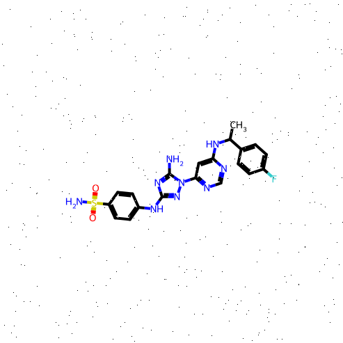 CC(Nc1cc(-n2nc(Nc3ccc(S(N)(=O)=O)cc3)nc2N)ncn1)c1ccc(F)cc1